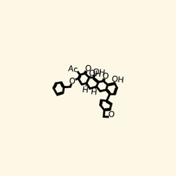 CC(=O)C1=C(OCc2ccccc2)C[C@@H]2C[C@@H]3Cc4c(-c5ccc6c(c5)OCC6)ccc(O)c4C(=O)C3=C(O)[C@]2(O)C1=O